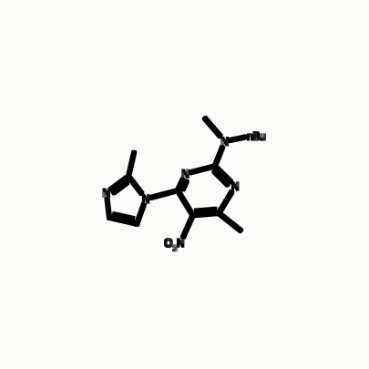 CCCCN(C)c1nc(C)c([N+](=O)[O-])c(-n2ccnc2C)n1